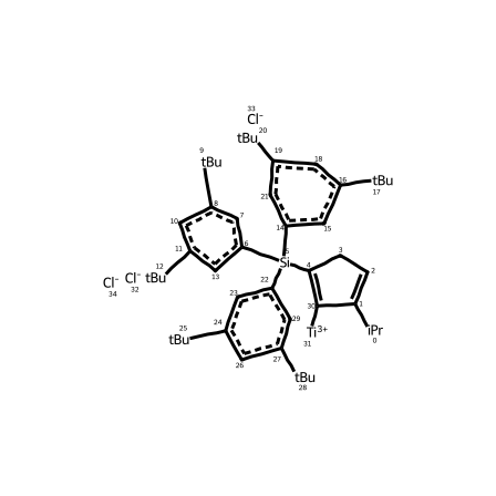 CC(C)C1=CCC([Si](c2cc(C(C)(C)C)cc(C(C)(C)C)c2)(c2cc(C(C)(C)C)cc(C(C)(C)C)c2)c2cc(C(C)(C)C)cc(C(C)(C)C)c2)=[C]1[Ti+3].[Cl-].[Cl-].[Cl-]